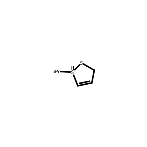 CCC[SH]1C=CCS1